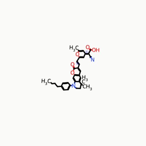 CCCCc1ccc(N2CCC(C)(C)c3cc4cc(/C=C/C5=CC(=C(\C#N)C(=O)O)/C=C(C)O5)c(=O)oc4cc32)cc1